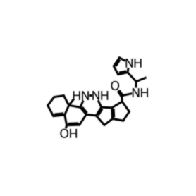 CC(NC(=O)C1CCC2=C1C1=C(C2)C2=C(NN1)C1(C)CCCC=C1C(O)=C2)c1ccc[nH]1